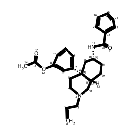 C=CCN1CC[C@@]2(c3cccc(OC(C)=O)c3)C[C@H](NC(=O)c3ccccc3)CC[C@@H]2C1